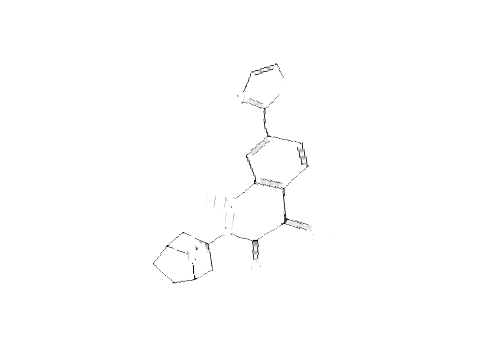 C=C(C(=O)NC1CC2CCC(C1)N2C)c1ccc(-c2ncco2)cc1N